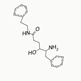 NC(Cc1ccccc1)C(O)CCC(=O)NCCc1ccccc1